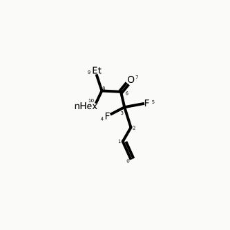 C=CCC(F)(F)C(=O)C(CC)CCCCCC